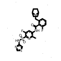 Cc1nc(S(=O)(=O)Nc2cscn2)c(F)cc1NC(=O)c1c(F)cccc1CN1C2CCC1CC2